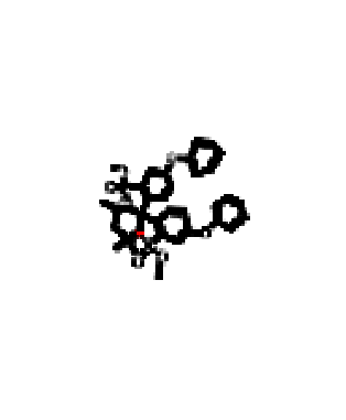 COP(=O)(OC)c1cc(Oc2ccccc2)ccc1C1(c2ccc(Oc3ccccc3)cc2P(=O)(OC)OC)CC(C)CC(C)(C)C1